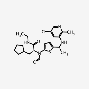 CCNC(=O)[C@H](CC1CCCC1)N(C=O)c1ccc([C@H](C)Nc2cc(Cl)cnc2C)s1